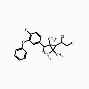 CC1(C)C(C(Cl)CCl)C1(C(=O)O)C(C#N)c1ccc(F)c(Oc2ccccc2)c1